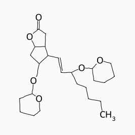 CCCCCC(/C=C/C1C(COC2CCCCO2)CC2OC(=O)CC21)OC1CCCCO1